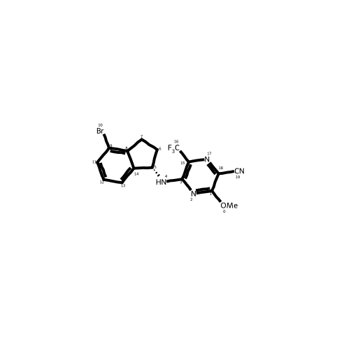 COc1nc(N[C@H]2CCc3c(Br)cccc32)c(C(F)(F)F)nc1C#N